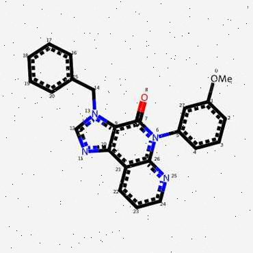 COc1cccc(-n2c(=O)c3c(ncn3Cc3ccccc3)c3cccnc32)c1